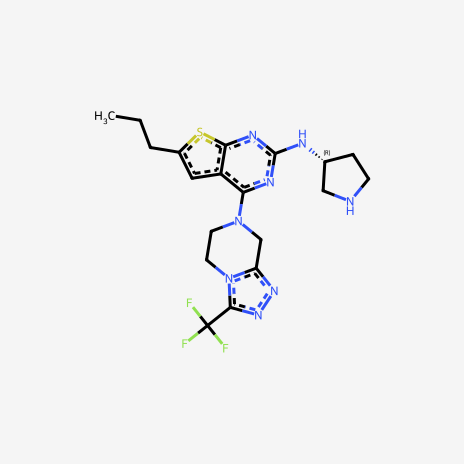 CCCc1cc2c(N3CCn4c(nnc4C(F)(F)F)C3)nc(N[C@@H]3CCNC3)nc2s1